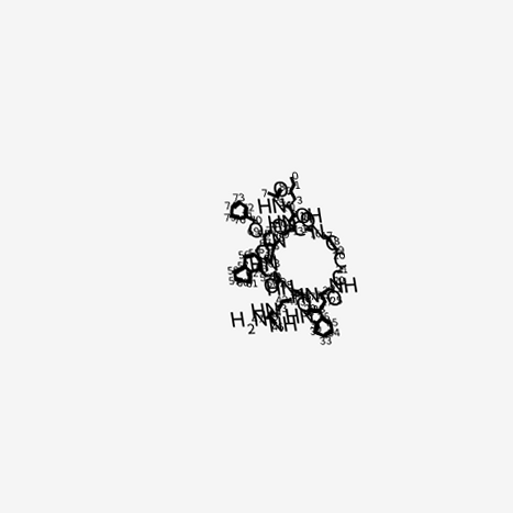 CCCC[C@H](NC(C)=O)C(=O)N[C@H]1CC(=O)NCCCCCCNC(=O)C(Cc2c[nH]c3ccccc23)NC(=O)[C@H](CCCNC(=N)N)NC(=O)[C@@H](Cc2cccc3ccccc23)NC(=O)C2CC(OCc3ccccc3)CN2C1=O